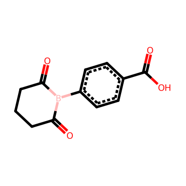 O=C1CCCC(=O)B1c1ccc(C(=O)O)cc1